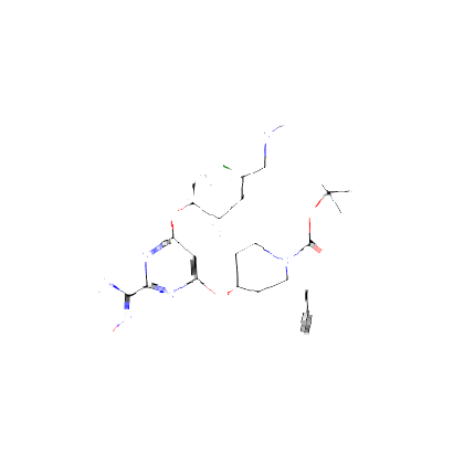 C#CC[C@@H]1C[C@@H](Oc2cc(O[C@@H](C)[C@@H](C)C[C@@H](F)CNC)nc(C(N)=NO)n2)CCN1C(=O)OC(C)(C)C